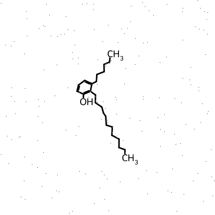 CCCCCCCCCCCCc1c(O)cccc1CCCCCC